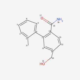 Cc1ccccc1-c1cc(CO)ccc1C(N)=O